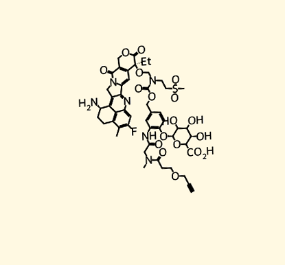 C#CCOCCC(=O)N(C)CC(=O)Nc1cc(COC(=O)N(CCS(C)(=O)=O)CO[C@]2(CC)C(=O)OCc3c2cc2n(c3=O)Cc3c-2nc2cc(F)c(C)c4c2c3[C@H](N)CC4)ccc1O[C@@H]1OC(C(=O)O)[C@H](O)C(O)C1O